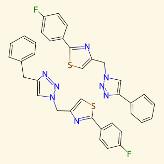 Fc1ccc(-c2nc(Cn3cc(-c4ccccc4)nn3)cs2)cc1.Fc1ccc(-c2nc(Cn3cc(Cc4ccccc4)nn3)cs2)cc1